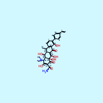 C=Cc1ccc(-c2ccc3c(c2O)C(=O)C2=C(O)C4(O)C(=O)C(C(N)=O)=C(O)C(N(C)C)C4C(O)C2C3C)cc1